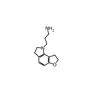 NC[CH]CN1CCc2ccc3c(c21)CCO3